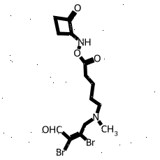 CN(CCCCC(=O)ONC1CCC1=O)C/C(Br)=C(/Br)C=O